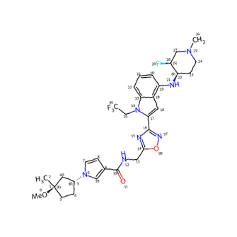 CO[C@]1(C)CC[C@@H](n2ccc(C(=O)NCc3nc(-c4cc5c(N[C@@H]6CCN(C)C[C@@H]6F)cccc5n4CC(F)(F)F)no3)c2)C1